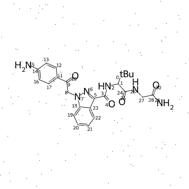 CC(C)(C)C(NC(=O)c1nn(CC(=O)c2ccc(N)cc2)c2ccccc12)C(=O)NCC(N)=O